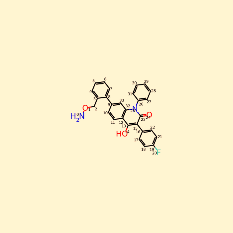 NOCc1ccccc1-c1ccc2c(O)c(-c3ccc(F)cc3)c(=O)n(-c3ccccc3)c2c1